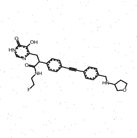 O=C(NCCF)C(Cc1nc[nH]c(=O)c1O)c1ccc(C#Cc2ccc(CNC3CCOC3)cc2)cc1